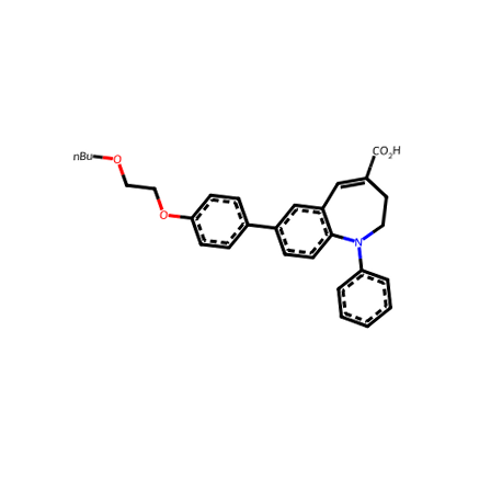 CCCCOCCOc1ccc(-c2ccc3c(c2)C=C(C(=O)O)CCN3c2ccccc2)cc1